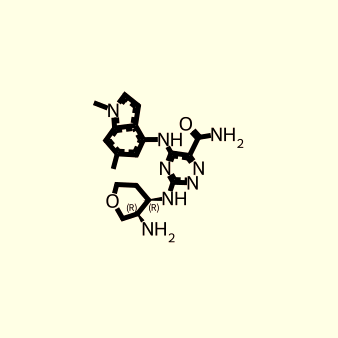 Cc1cc(Nc2nc(N[C@@H]3CCOC[C@@H]3N)nnc2C(N)=O)c2ccn(C)c2c1